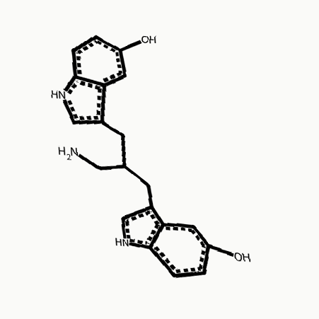 NCC(Cc1c[nH]c2ccc(O)cc12)Cc1c[nH]c2ccc(O)cc12